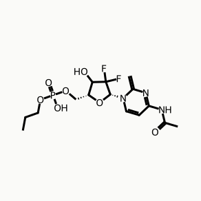 C=C1N=C(NC(C)=O)C=CN1[C@@H]1O[C@H](COP(=O)(O)OCCC)C(O)C1(F)F